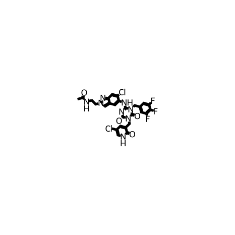 CC(=O)NCCn1cc2cc(Nc3nc(=O)n(Cc4cc(Cl)c[nH]c4=O)c(=O)n3Cc3cc(F)c(F)c(F)c3)c(Cl)cc2n1